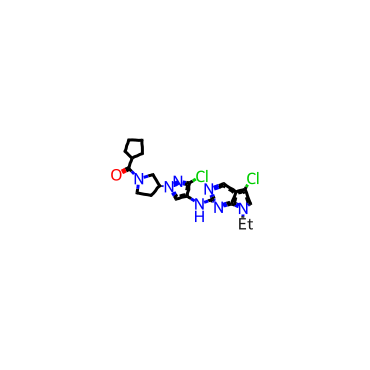 CCn1cc(Cl)c2cnc(Nc3cn([C@@H]4CCN(C(=O)C5CCCC5)C4)nc3Cl)nc21